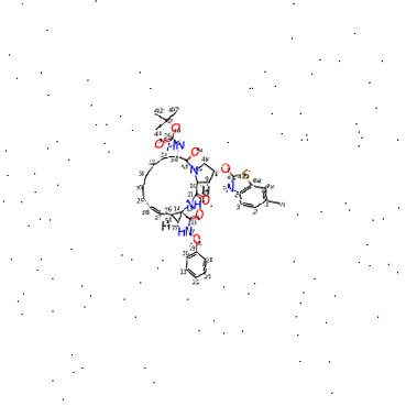 Cc1ccc2nc(O[C@@H]3C[C@H]4C(=O)N[C@]5(C(=O)NOc6ccccc6)C[C@H]5/C=C\CCCCC[C@H](NC(=O)OC(C)(C)C)C(=O)N4C3)sc2c1